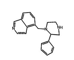 c1ccc(C2CNCCN2Cc2cccc3cnccc23)cc1